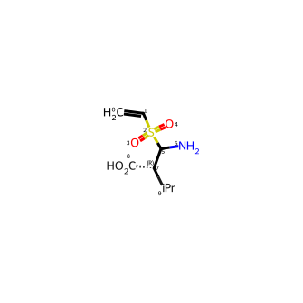 C=CS(=O)(=O)C(N)[C@@H](C(=O)O)C(C)C